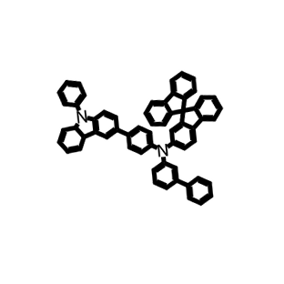 C1=CC2c3cc(-c4ccc(N(c5cccc(-c6ccccc6)c5)c5ccc6c(c5)C5(c7ccccc7-c7ccccc75)c5ccccc5-6)cc4)ccc3N(c3ccccc3)C2C=C1